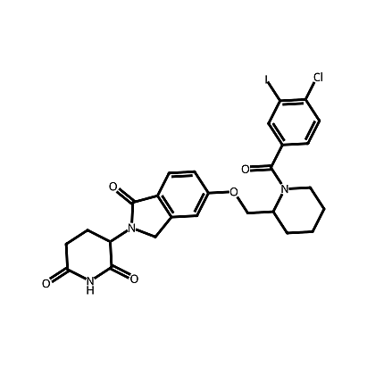 O=C1CCC(N2Cc3cc(OCC4CCCCN4C(=O)c4ccc(Cl)c(I)c4)ccc3C2=O)C(=O)N1